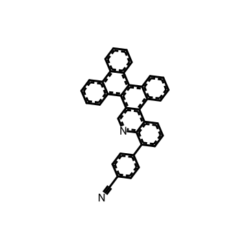 N#Cc1ccc(-c2cccc3c2ncc2c3c3ccccc3c3c4ccccc4c4ccccc4c23)cc1